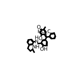 Cc1cc2c(-c3ccccc3C(=O)O)c3ccc(O)c(CNc4cccc5c4NC(C)CC5)c3oc-2cc1=O